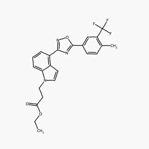 CCOC(=O)CCn1ccc2c(-c3noc(-c4ccc(C)c(C(F)(F)F)c4)n3)cccc21